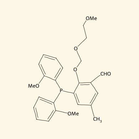 COCCOCOc1c(C=O)cc(C)cc1P(c1ccccc1OC)c1ccccc1OC